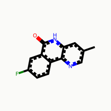 Cc1cnc2c(c1)[nH]c(=O)c1cc(F)ccc12